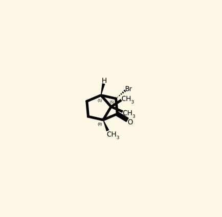 CC1(C)[C@@H]2CC[C@@]1(C)C(=O)[C@H]2Br